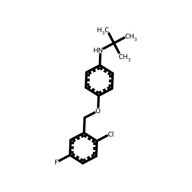 CC(C)(C)Nc1ccc(OCc2cc(F)ccc2Cl)cc1